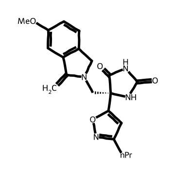 C=C1c2cc(OC)ccc2CN1C[C@@]1(c2cc(CCC)no2)NC(=O)NC1=O